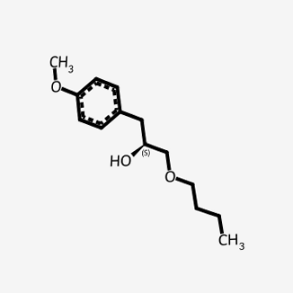 CCCCOC[C@@H](O)Cc1ccc(OC)cc1